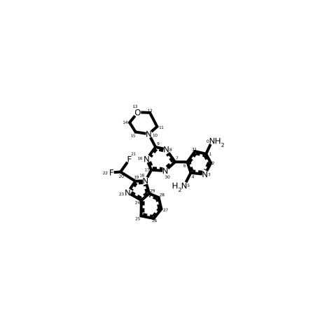 Nc1cnc(N)c(-c2nc(N3CCOCC3)nc(-n3c(C(F)F)nc4ccccc43)n2)c1